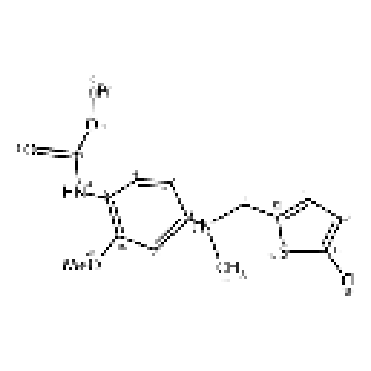 CCCOC(=O)Nc1ccc(N(C)Cc2ccc(Cl)s2)cc1OC